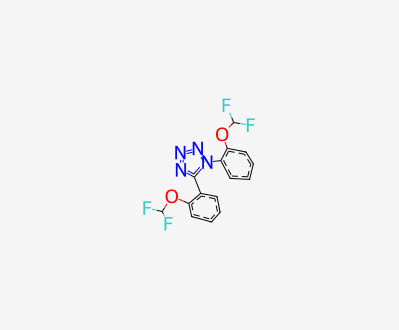 FC(F)Oc1ccccc1-c1nnnn1-c1ccccc1OC(F)F